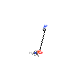 C[N+](C)(C)CCOP(=O)(O)OCCCCCCCCCCCCCCCCCCc1ccc(N=[N+]=N)cc1